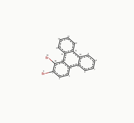 Brc1ccc2c3ccccc3c3ccccc3c2c1Br